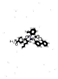 CCCCC(S/C(=N/c1ccccc1C)N(C=O)c1cccc(-c2ccccc2Cl)c1)C(=O)N1CCC(C(N)=O)CC1